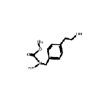 CCCN(Cc1ccc(CCO)cc1)C(=O)OC(C)(C)C